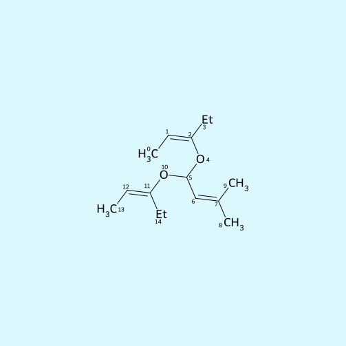 CC=C(CC)OC(C=C(C)C)OC(=CC)CC